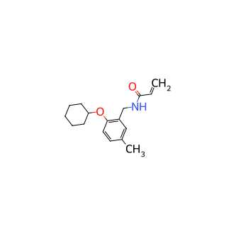 C=CC(=O)NCc1cc(C)ccc1OC1CCCCC1